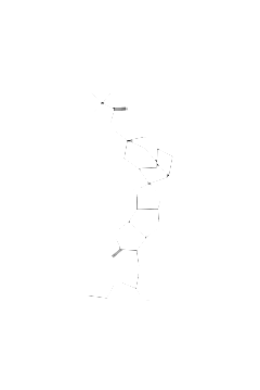 CCOC(O)OC1C(=O)OC2C3OC4(OC3OC12)C1CC2CC4CC(OC(=O)C(C)(F)F)(C2)C1